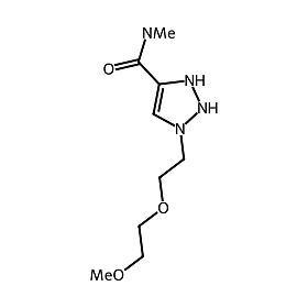 CNC(=O)C1=CN(CCOCCOC)NN1